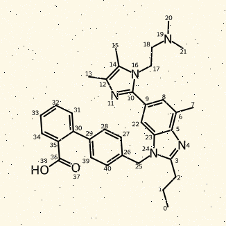 CCCc1nc2c(C)cc(-c3nc(C)c(C)n3CCN(C)C)cc2n1Cc1ccc(-c2ccccc2C(=O)O)cc1